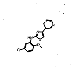 COc1ccc(Cl)cc1Nc1nc(C2C=NC=CC2)cs1